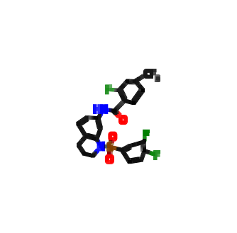 O=C(Nc1ccc2c(c1)N(S(=O)(=O)c1ccc(F)c(F)c1)CCC2)c1ccc(C(F)(F)F)cc1F